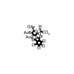 CC(=O)OC[C@H]1O[C@@H](OC(=N)C(Cl)(Cl)Cl)[C@H](N2C(=O)c3c(Cl)c(Cl)c(Cl)c(Cl)c3C2=O)[C@@H](OC(C)=O)[C@@H]1OC(C)=O